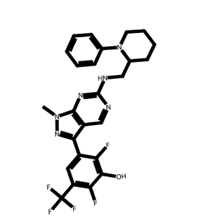 Cn1nc(-c2cc(C(F)(F)F)c(F)c(O)c2F)c2cnc(NCC3CCCCN3c3ccccc3)nc21